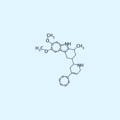 COc1cc2[nH]c3c(c2cc1OC)CC(C1CC(c2ccccc2)=CCN1)CC3C